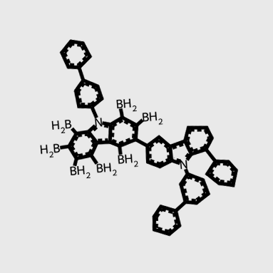 Bc1c(B)c(B)c2c(c1B)c1c(B)c(-c3ccc4c(c3)c3cccc(-c5ccccc5)c3n4-c3cccc(-c4ccccc4)c3)c(B)c(B)c1n2-c1ccc(-c2ccccc2)cc1